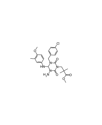 COC(=O)C(C)(C)CN1C(=O)N(N)C(Nc2ccc(OC)c(C)c2)N(Cc2ccc(Cl)cc2)C1=O